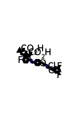 Cc1c(CC2(CC(=O)O)CC2)c2c(F)ccc(/C=C/c3ccc(OC/C=C/COc4cc(F)cc(F)c4Cl)cc3)c2n1CC(=O)O